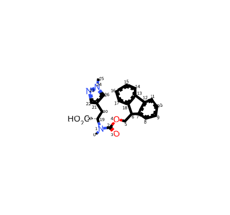 CN(C(=O)OCC1c2ccccc2-c2ccccc21)[C@@H](Cc1cnn(C)c1)C(=O)O